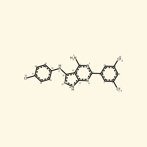 Nc1nc(-c2cc(C(F)(F)F)cc(C(F)(F)F)c2)nc2[nH]nc(Nc3ccc(Cl)cc3)c12